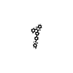 Cc1ccc2oc(-c3ccc(-c4ccc(-c5nc6ccccc6nc5-c5ccccc5)cc4)cc3)nc2c1